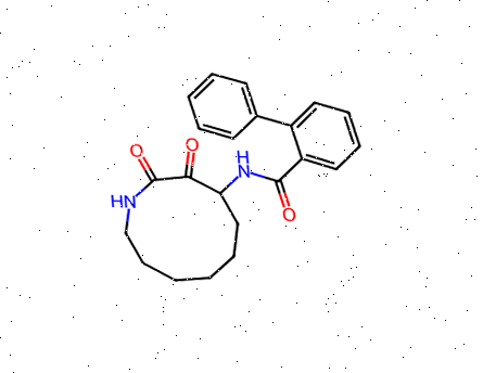 O=C1NCCCCCCC(NC(=O)c2ccccc2-c2ccccc2)C1=O